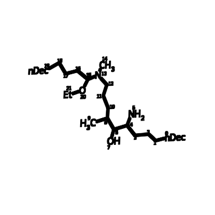 CCCCCCCCCCCCCC(N)C(O)C(C)CCCN(C)C(CCCCCCCCCCCCC)OCC